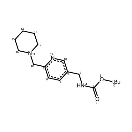 CC(C)(C)OC(=O)NCc1ccc(CN2CCCCC2)nc1